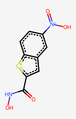 O=C(NO)c1cc2cc([N+](=O)O)ccc2s1